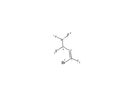 FC(Br)=CC(F)C(F)F